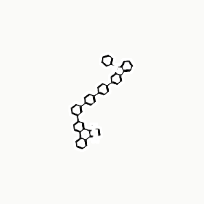 c1ccc(-n2c3ccccc3c3ccc(-c4ccc(-c5ccc(-c6cccc(-c7ccc8c9ccccc9c9nccnc9c8c7)c6)cc5)cc4)cc32)cc1